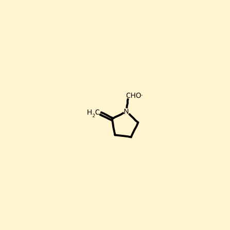 C=C1CCCN1[C]=O